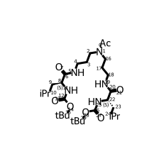 CC(=O)N(CCCNC(=O)[C@H](CC(C)C)NC(=O)OC(C)(C)C)CCCNC(=O)[C@H](CC(C)C)NC(=O)OC(C)(C)C